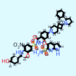 CC(C)c1ccccc1[C@H]1CCCN1C1CC2(CCN(c3ccc(C(=O)NS(=O)(=O)c4cc5c(c([N+](=O)[O-])c4)N[C@@H]([C@H]4CC[C@](C)(O)CC4)CO5)c(Oc4cc5cc[nH]c5nc4S(N)(=O)=O)c3)CC2)C1